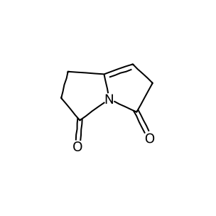 O=C1CC=C2CCC(=O)N12